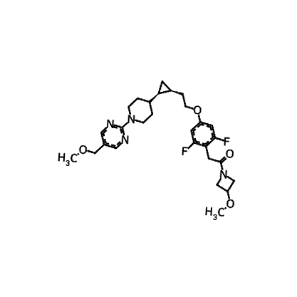 COCc1cnc(N2CCC([C@H]3C[C@H]3CCOc3cc(F)c(CC(=O)N4CC(OC)C4)c(F)c3)CC2)nc1